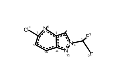 FC(F)n1cc2nc(Cl)ccc2n1